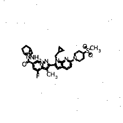 Cc1c(-c2cc3ccc(N4CCC(S(C)(=O)=O)CC4)nc3n2CC2CC2)nn2cc(C(=O)N3CC4CCC3C4N)cc(F)c12